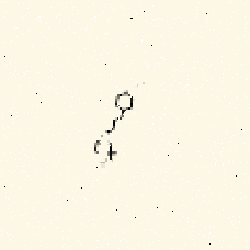 COC1CCC(CCCCN2CCN(C(C)C)C(C)(C)C2)CC1